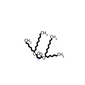 CCCCCCCCCC(CCCCCC)OC(=O)/C=C\C(=O)OC(CCCCCC)CCCCCCCCC